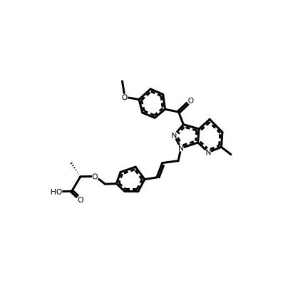 COc1ccc(C(=O)c2nn(C/C=C/c3ccc(CO[C@@H](C)C(=O)O)cc3)c3nc(C)ccc23)cc1